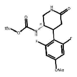 COc1cc(F)c(C2CC(=O)NC[C@H]2NC(=O)OC(C)(C)C)c(F)c1